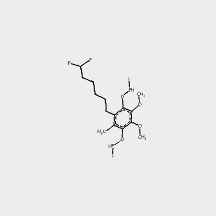 COc1c(OPI)c(C)c(CCCCCC(F)F)c(OPI)c1OC